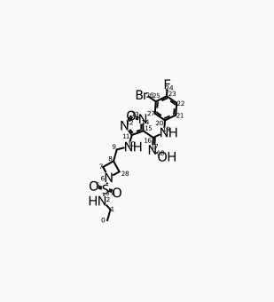 CCNS(=O)(=O)N1CC(CNc2nonc2/C(=N/O)Nc2ccc(F)c(Br)c2)C1